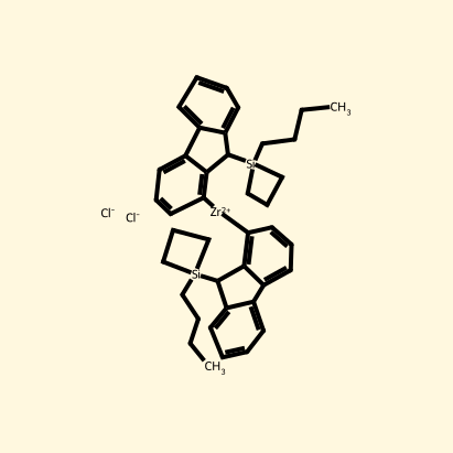 CCCC[Si]1(C2c3ccccc3-c3ccc[c]([Zr+2][c]4cccc5c4C([Si]4(CCCC)CCC4)c4ccccc4-5)c32)CCC1.[Cl-].[Cl-]